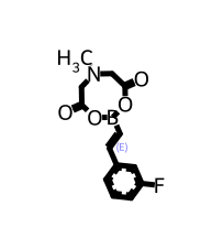 CN1CC(=O)OB(/C=C/c2cccc(F)c2)OC(=O)C1